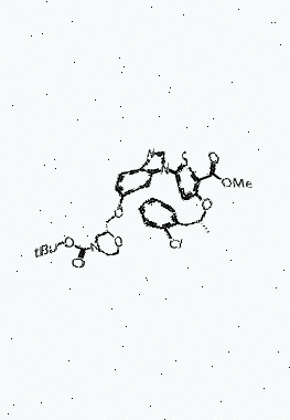 COC(=O)c1sc(-n2cnc3ccc(OC[C@H]4CN(C(=O)OC(C)(C)C)CCO4)cc32)cc1O[C@H](C)c1ccccc1Cl